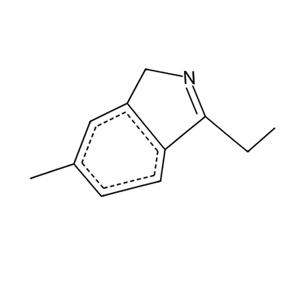 CCC1=NCc2cc(C)ccc21